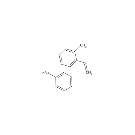 C=Cc1ccccc1C.CCCCc1ccccc1